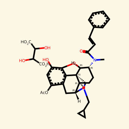 CC(=O)Oc1cc(O)c2c3c1C[C@@H]1[C@@H]4CC[C@@H](N(C)C(=O)C=Cc5ccccc5)[C@H](O2)[C@]34CCN1CC1CC1.O=C(O)C(O)C(O)C(=O)O